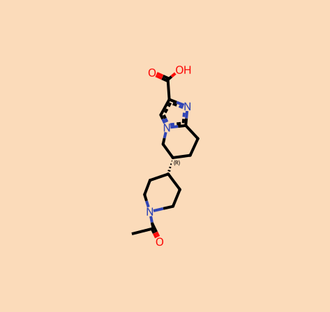 CC(=O)N1CCC([C@H]2CCc3nc(C(=O)O)cn3C2)CC1